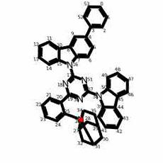 c1ccc(-c2ccc3c(c2)c2ccccc2n3-c2nc(-c3ccccc3N3C4CC5CC(C4)CC3C5)nc(-n3c4ccccc4c4ccccc43)n2)cc1